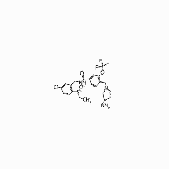 CC[S+]([O-])c1ccc(Cl)cc1CNC(=O)c1ccc(CN2CCC(N)C2)c(OC(F)(F)F)c1